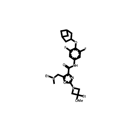 CCN(C)Cc1oc(N2CC(CC)(OC)C2)nc1C(=O)Nc1cc(F)c(OC2CC3CC(C3)C2)c(F)c1